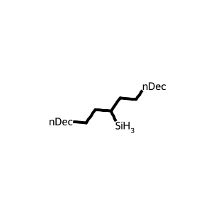 CCCCCCCCCCCCC([SiH3])CCCCCCCCCCCC